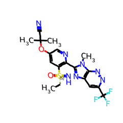 CC[S@](=N)(=O)c1cc(OC(C)(C)C#N)cnc1-c1nc2cc(C(F)(F)F)nnc2n1C